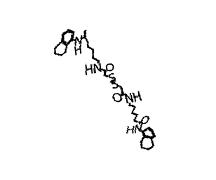 C=C(CCCCCNC(=O)CSSCC(=O)NCCCCCC(=O)Nc1cccc2c1CCCC2)Nc1cccc2c1CCCC2